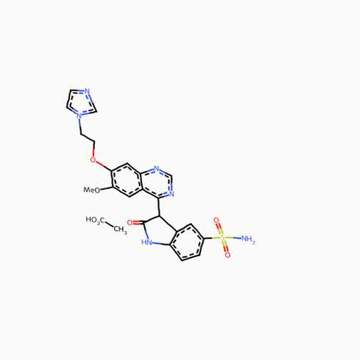 CC(=O)O.COc1cc2c(C3C(=O)Nc4ccc(S(N)(=O)=O)cc43)ncnc2cc1OCCn1ccnc1